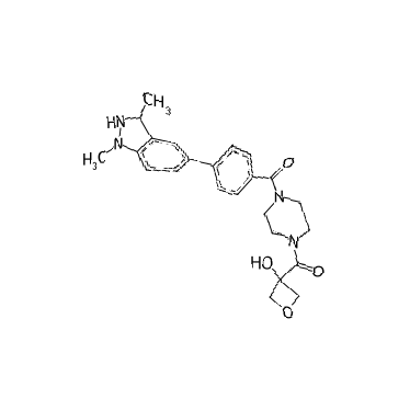 CC1NN(C)c2ccc(-c3ccc(C(=O)N4CCN(C(=O)C5(O)COC5)CC4)cc3)cc21